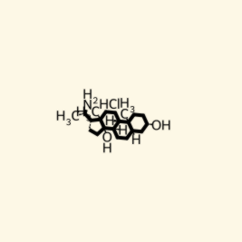 C[C@H](N)[C@H]1CC[C@]2(O)[C@@H]3CC[C@@H]4C[C@@H](O)CC[C@]4(C)[C@H]3CC[C@]12C.Cl